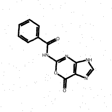 O=C(Nc1nc2[nH]cnc2c(=O)o1)c1ccccc1